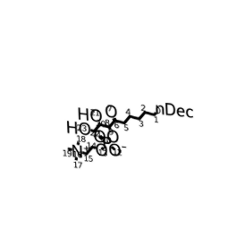 CCCCCCCCCCCCCCCC(=O)C(OP(=O)([O-])OCC[N+](C)(C)C)C(O)CO